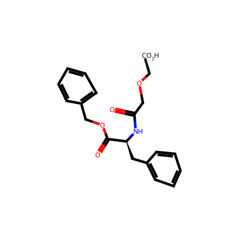 O=C(O)COCC(=O)N[C@@H](Cc1ccccc1)C(=O)OCc1ccccc1